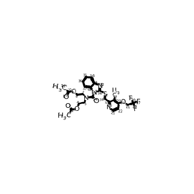 CC(=O)OCCN(CCOC(C)=O)C(=O)n1c(SCc2nccc(OCC(F)(F)F)c2C)nc2ccccc21